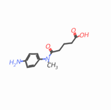 CN(C(=O)CCCC(=O)O)c1ccc(N)cc1